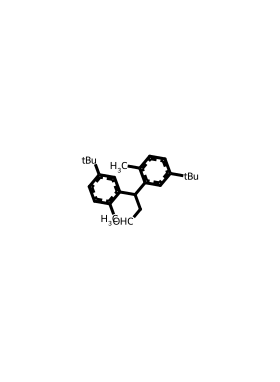 Cc1ccc(C(C)(C)C)cc1C(CC=O)c1cc(C(C)(C)C)ccc1C